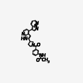 CC(=O)Nc1cccc(C(=O)N2CCC(c3cc4c(-c5cnn6ncccc56)ccnc4[nH]3)C2)c1